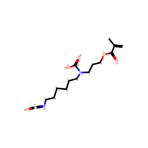 C=C(C)C(=O)OCCCN(CCCCCCN=C=O)C(=O)O